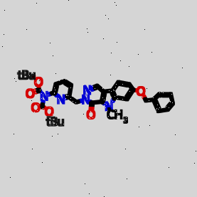 Cn1c2cc(OCc3ccccc3)ccc2c2cnn(Cc3cccc(N(C(=O)OC(C)(C)C)C(=O)OC(C)(C)C)n3)c(=O)c21